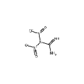 N=C(N)N([N+](=O)[O-])[N+](=O)[O-]